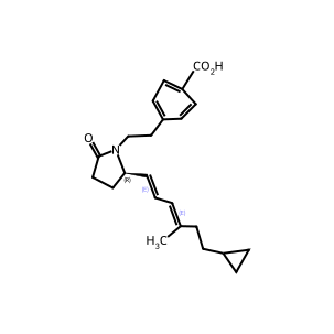 C/C(=C\C=C\[C@H]1CCC(=O)N1CCc1ccc(C(=O)O)cc1)CCC1CC1